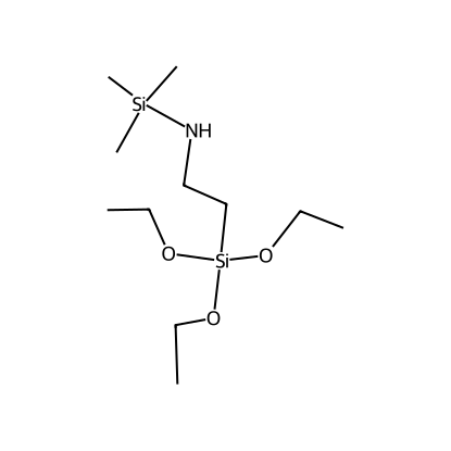 CCO[Si](CCN[Si](C)(C)C)(OCC)OCC